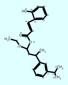 CCOC(CC(C)c1cccc(C(C)C)c1)OC(=O)C=Cc1ccccc1O